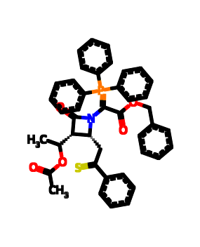 CC(=O)OC(C)[C@@H]1C(=O)N(C(C(=O)OCc2ccccc2)=P(c2ccccc2)(c2ccccc2)c2ccccc2)[C@@H]1CC(=S)c1ccccc1